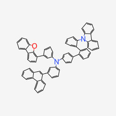 c1cc(-c2cc3ccccc3c3ccccc23)cc(N(c2ccc(-c3ccccc3-c3ccccc3-n3c4ccccc4c4ccccc43)cc2)c2cccc(-c3cccc4c3oc3ccccc34)c2)c1